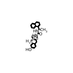 C[C@H](NC(=O)NC[C@H](Cc1ccc(O)cc1)N(C)C)c1cccc2ccccc12